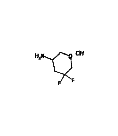 Cl.NC1COCC(F)(F)C1